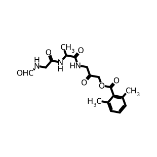 Cc1cccc(C)c1C(=O)OCC(=O)CNC(=O)C(C)NC(=O)CNC=O